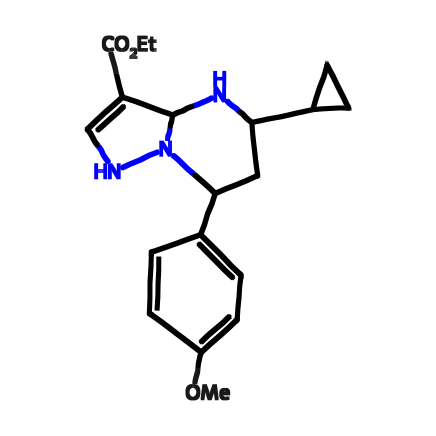 CCOC(=O)C1=CNN2C1NC(C1CC1)CC2c1ccc(OC)cc1